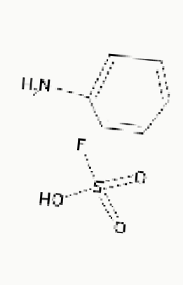 Nc1ccccc1.O=S(=O)(O)F